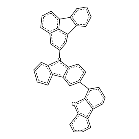 c1ccc2c(c1)-c1cccc3cc(-n4c5ccccc5c5cc(-c6cccc7c6oc6ccccc67)ccc54)cc-2c13